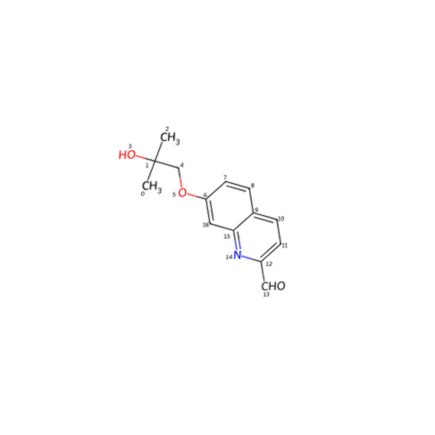 CC(C)(O)COc1ccc2ccc(C=O)nc2c1